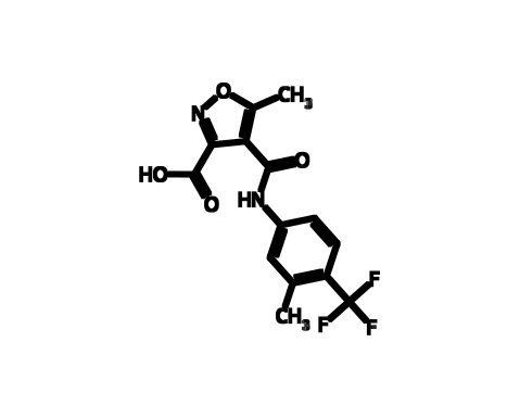 Cc1cc(NC(=O)c2c(C(=O)O)noc2C)ccc1C(F)(F)F